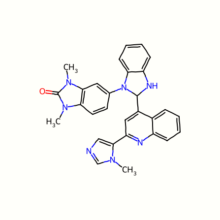 Cn1cncc1-c1cc(C2Nc3ccccc3N2c2ccc3c(c2)n(C)c(=O)n3C)c2ccccc2n1